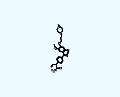 C=CC(C(N)=O)c1ccc(-c2ncnc3cc(OCCCN4CCN(C)CC4)c(OC)cc23)cc1